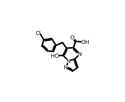 O=C(O)c1nc2ccnn2c(O)c1Cc1cccc(Cl)c1